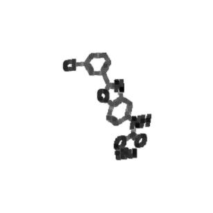 CC(C)(C)OC(=O)Nc1ccc2oc(-c3cccc(Cl)c3)nc2c1